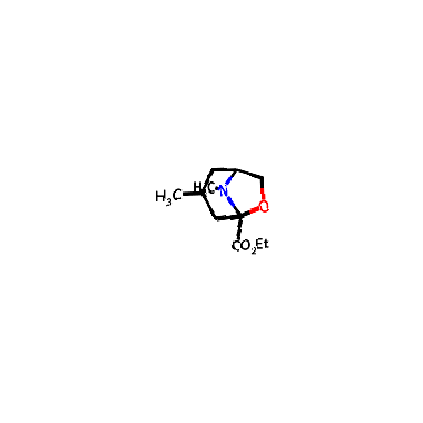 CCOC(=O)C12CC(C)CC(CO1)N2C